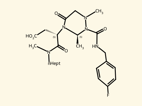 CCCCCCCN(C)C(=O)[C@H](CC(=O)O)N1C(=O)CN(C)N(C(=O)NCc2ccc(F)cc2)[C@H]1C